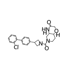 O=C1CO[C@H]2CCN(C(=O)N3CC(c4ccc(-c5ccccc5Cl)cc4)C3)C[C@H]2N1